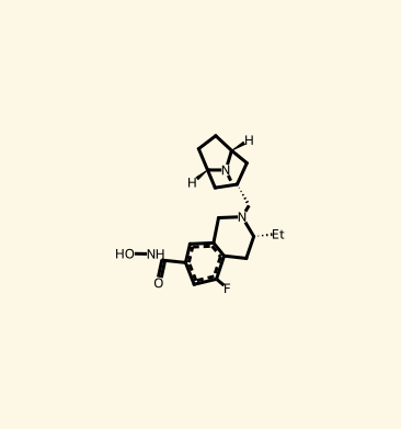 CC[C@@H]1Cc2c(F)cc(C(=O)NO)cc2CN1C[C@H]1C[C@H]2CC[C@@H](C1)N2C